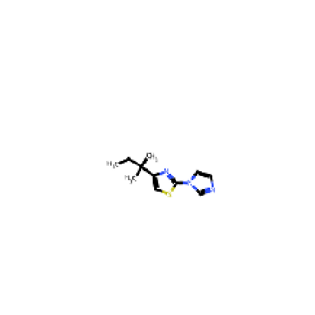 CCC(C)(C)c1csc(-n2ccnc2)n1